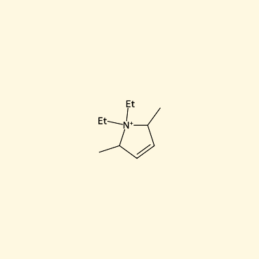 CC[N+]1(CC)C(C)C=CC1C